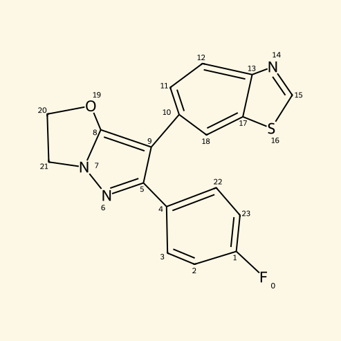 Fc1ccc(-c2nn3c(c2-c2ccc4ncsc4c2)OCC3)cc1